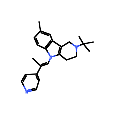 C/C(=C\n1c2c(c3cc(C)ccc31)CN(C(C)(C)C)CC2)c1ccncc1